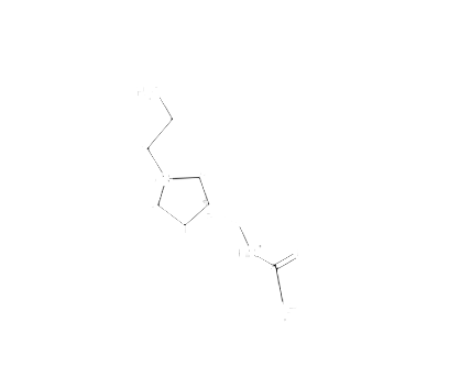 CCCN1CC[C@@H](CNC(C)=O)C1